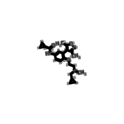 Cc1noc(C)c1-c1cc(NC(=O)C2CC2)ccc1OCCN(C)CC1CC1